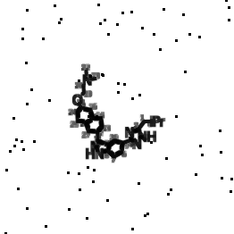 CC(C)Cc1nc(-c2ccc3[nH]nc(-c4ccc5cc(OCCN(C)C)ccc5c4)c3c2)n[nH]1